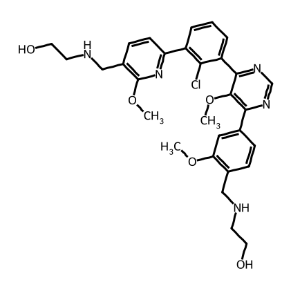 COc1cc(-c2ncnc(-c3cccc(-c4ccc(CNCCO)c(OC)n4)c3Cl)c2OC)ccc1CNCCO